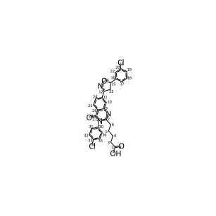 O=C(O)CCCCc1nc2cc(C3=NOC(c4cccc(Cl)c4)C3)ccc2c(=O)n1-c1ccc(Cl)cc1